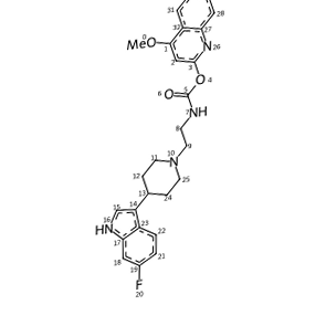 COc1cc(OC(=O)NCCN2CCC(c3c[nH]c4cc(F)ccc34)CC2)nc2ccccc12